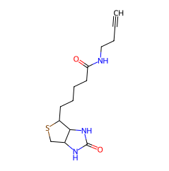 C#CCCNC(=O)CCCCC1SCC2NC(=O)NC21